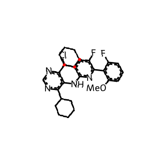 COc1cccc(F)c1-c1nc(Nc2c(C3CCCCC3)ncnc2C2CCCCC2)c(CCl)cc1F